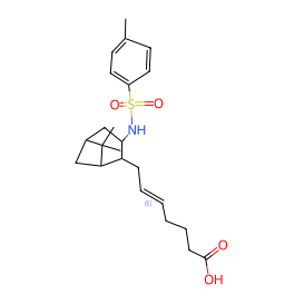 Cc1ccc(S(=O)(=O)NC2CC3CC(C2C/C=C/CCCC(=O)O)C3(C)C)cc1